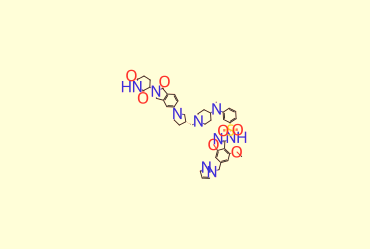 COc1cc(Cn2cccn2)cc2onc(NS(=O)(=O)c3cccc(N(C)C4CCN(C[C@@H]5CCN(c6ccc7c(c6)CN([C@H]6CCC(=O)NC6=O)C7=O)C5)CC4)c3)c12